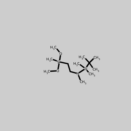 CO[Si](C)(CCN(C)[Si](C)(C)C(C)(C)C)OC